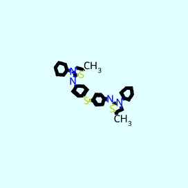 CC1CN(C2CCCCC2)C(N=C2C=CC(SC3=CCC(=NC4SC(C)CN4C4CCCCC4)C=C3)=CC2)S1